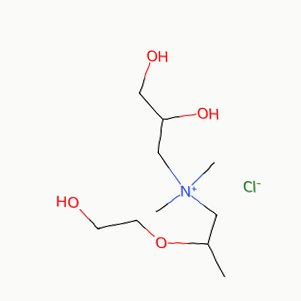 CC(C[N+](C)(C)CC(O)CO)OCCO.[Cl-]